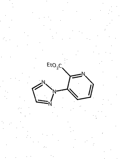 CCOC(=O)c1ncccc1-n1nccn1